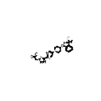 O=C(O)Cn1nnc(-c2ncc(N3CCC(Oc4ccccc4C(F)(F)F)CC3)cn2)n1